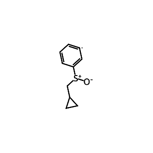 [O-][S+](CC1CC1)c1c[c]ccc1